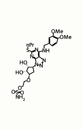 CCCSc1nc(NCc2ccc(OC)c(OC)c2)c2nnn([C@H]3C[C@@H](OCCOS(N)(=O)=O)[C@H](O)[C@@H]3O)c2n1